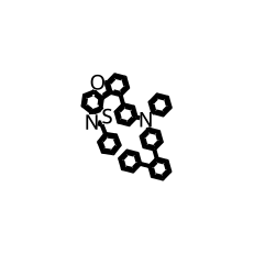 c1ccc(-c2nc3ccc4oc5cccc(-c6cccc(N(c7ccccc7)c7ccc(-c8ccccc8-c8ccccc8)cc7)c6)c5c4c3s2)cc1